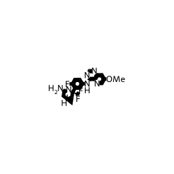 COc1cnc2c(Nc3ccc(F)c([C@@]4(C(F)F)N=C(N)C[C@@H]5C[C@@H]54)c3)ncnc2c1